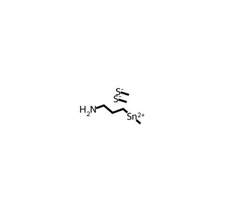 C[S-].C[S-].[CH3][Sn+2][CH2]CCN